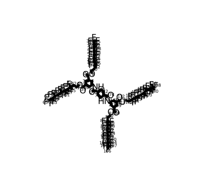 O=C(Nc1cc(C(=O)OCCC(F)(F)C(F)(F)C(F)(F)C(F)(F)C(F)(F)C(F)(F)C(F)(F)C(F)(F)F)cc(C(=O)OCCC(F)(F)C(F)(F)C(F)(F)C(F)(F)C(F)(F)C(F)(F)C(F)(F)C(F)(F)F)c1)c1ccc(C(=O)Nc2cc(C(=O)OCCC(F)(F)C(F)(F)C(F)(F)C(F)(F)C(F)(F)C(F)(F)C(F)(F)C(F)(F)F)cc(C(=O)OCCC(F)(F)C(F)(F)C(F)(F)C(F)(F)C(F)(F)C(F)(F)C(F)(F)C(F)(F)F)c2)cc1